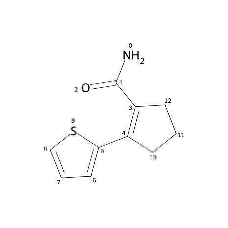 NC(=O)C1=C(c2cccs2)CCC1